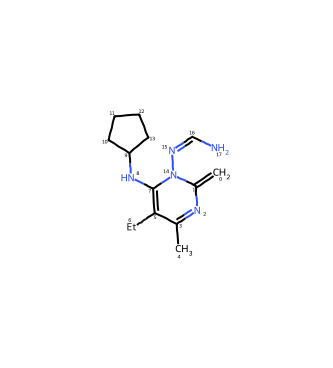 C=C1N=C(C)C(CC)=C(NC2CCCC2)N1/N=C\N